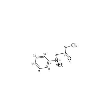 CCN(CC(=O)CCl)c1ccccc1